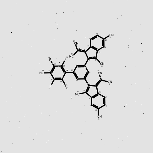 N#CC(C#N)=C1C(c2cc(C3=C(C#N)c4cc(C#N)ccc4C3=C(C#N)C#N)cc(-c3c(F)c(F)c(C#N)c(F)c3F)c2)=C(C#N)c2cc(C#N)ccc21